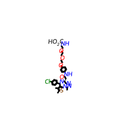 Cc1sc2c(c1C)C(c1ccc(Cl)cc1)=N[C@@H](CC(=O)Nc1ccc(OCCOCCOCCNC(=O)O)cc1)c1nnc(C)n1-2